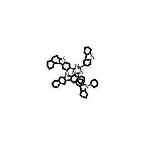 c1ccc(-n2c3ccccc3c3ccc(-c4nc(-c5ccc6sc7ccccc7c6c5)nc(-c5cc6sc7ccc8ccccc8c7c6cc5-n5c6cc7ccccc7cc6c6cc7ccccc7cc65)n4)cc32)cc1